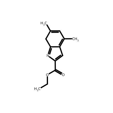 CCOC(=O)C1=CC2=C(C)C=C(C)CC2=N1